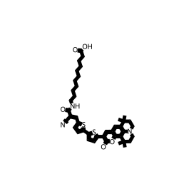 CC1(C)CCN2CCC(C)(C)c3c2c1cc1cc(-c2ccc(-c4ccc(/C=C(\C#N)C(=O)NCCCCCCCCCCC(=O)O)s4)s2)c(=O)oc31